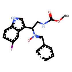 CC(C)(C)OC(=O)NCC(c1c[nH]c2ccc(I)cc12)/[N+]([O-])=C/c1ccccc1